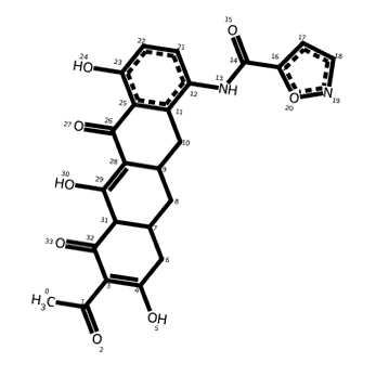 CC(=O)C1=C(O)CC2CC3Cc4c(NC(=O)c5ccno5)ccc(O)c4C(=O)C3=C(O)C2C1=O